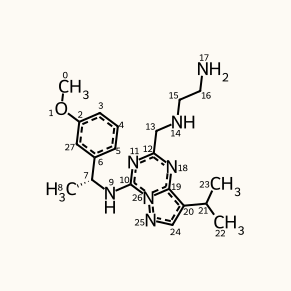 COc1cccc([C@@H](C)Nc2nc(CNCCN)nc3c(C(C)C)cnn23)c1